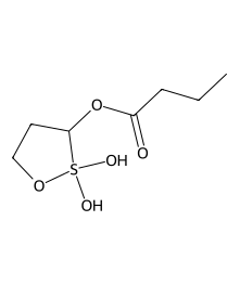 CCCC(=O)OC1CCOS1(O)O